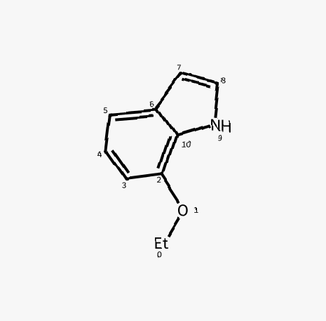 CCOc1cccc2cc[nH]c12